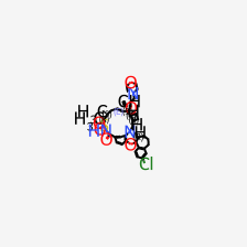 C#C[C@@]1(OCCN2CCOCC2)/C=C/C[C@H](C)[C@@H](C)S(=O)(=O)NC(=O)c2ccc3c(c2)N(C[C@H]2CCCc4cc(Cl)ccc4C2O3)C[C@@H]2CC[C@H]21